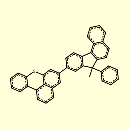 CC1(c2ccccc2)c2cc(-c3cc4c5c(cccc5c3)-c3ccccc3S4)ccc2-c2c1ccc1ccccc21